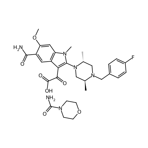 COc1cc2c(cc1C(N)=O)c(C(=O)C(=O)O)c(N1C[C@H](C)N(Cc3ccc(F)cc3)C[C@H]1C)n2C.NC(=O)N1CCOCC1